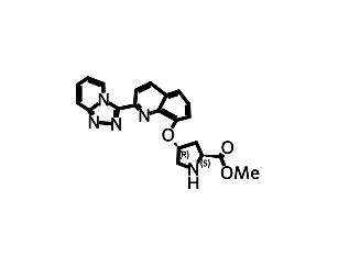 COC(=O)[C@@H]1C[C@@H](Oc2cccc3ccc(-c4nnc5ccccn45)nc23)CN1